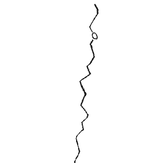 [CH2]CCCCCCCCCCCCCOCCC